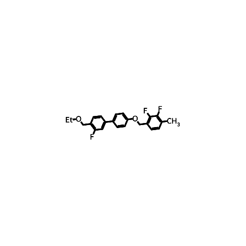 CCOCc1ccc(-c2ccc(OCc3ccc(C)c(F)c3F)cc2)cc1F